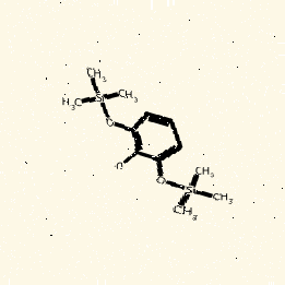 C[Si](C)(C)Oc1cccc(O[Si](C)(C)C)c1[O]